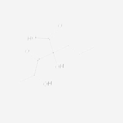 CCCC(O)(C(=O)O)C(=O)C(C)O